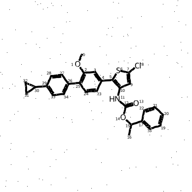 COc1cc(-c2sc(Cl)cc2NC(=O)OC(C)c2ccccc2)ccc1-c1ccc(C2CC2)cc1